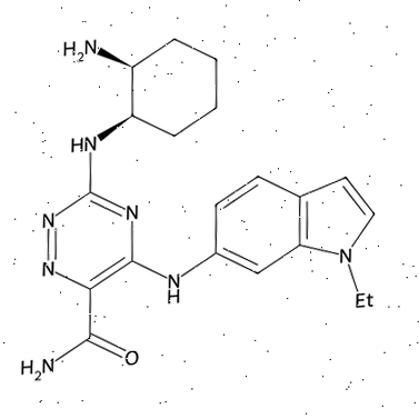 CCn1ccc2ccc(Nc3nc(N[C@@H]4CCCC[C@@H]4N)nnc3C(N)=O)cc21